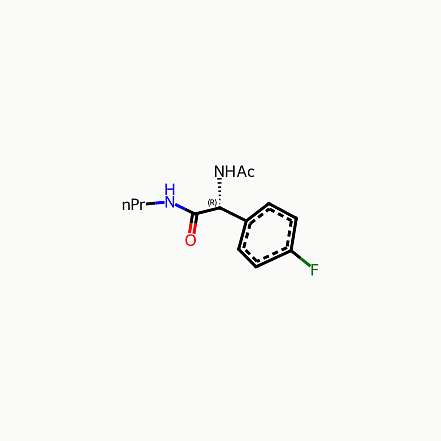 CCCNC(=O)[C@H](NC(C)=O)c1ccc(F)cc1